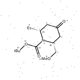 CC[C@@H]1CC(=O)C[C@H](COC)N1C(=O)OC(C)(C)C